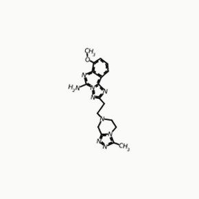 COc1cccc2c1nc(N)n1nc(CCN3CCn4c(C)nnc4C3)nc21